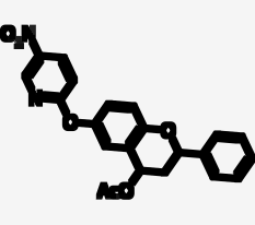 CC(=O)OC1CC(c2ccccc2)Oc2ccc(Oc3ccc([N+](=O)[O-])cn3)cc21